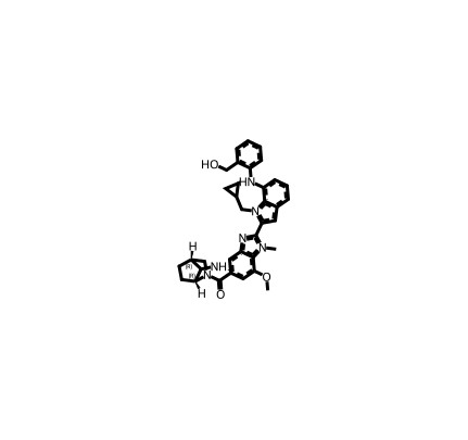 COc1cc(C(=O)N2C[C@H]3CC[C@@H]2C3N)cc2nc(-c3cc4cccc(Nc5ccccc5CO)c4n3CC3CC3)n(C)c12